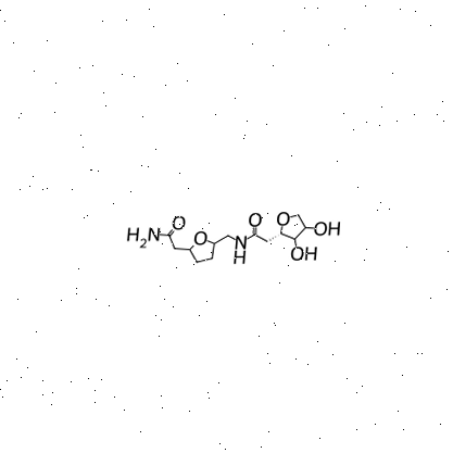 NC(=O)CC1CCC(CNC(=O)C[C@@H]2OCC(O)C2O)O1